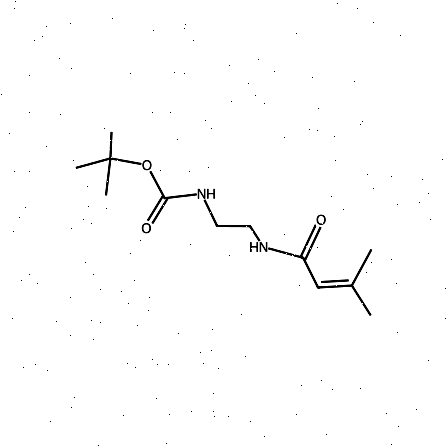 CC(C)=CC(=O)NCCNC(=O)OC(C)(C)C